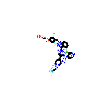 OCCOc1cc(F)c(Cn2nc(-c3ncc(C4CCN(CC(F)(F)F)CC4)c(Nc4ccncc4Cl)n3)c3ccccc32)c(F)c1